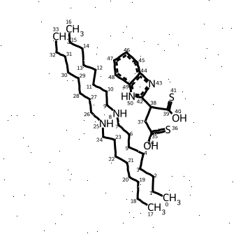 CCCCCCCCNCCCCCCCC.CCCCCCCCNCCCCCCCC.OC(=S)CC(C(O)=S)c1nc2ccccc2[nH]1